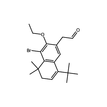 CCOc1c(CC=O)cc2c(c1Br)C(C)(C)CC=C2C(C)(C)C